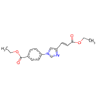 CCOC(=O)C=Cc1cn(-c2ccc(C(=O)OCC)cc2)cn1